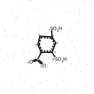 O=I(=O)c1ccc(S(=O)(=O)O)cc1S(=O)(=O)O